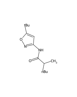 CCCCC(C)C(=O)Nc1cc(C(C)(C)C)on1